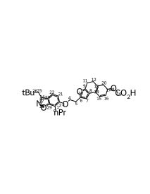 CCCc1c(OCCc2cc3c(o2)CCC2=C3C=CC(OC(=O)O)C2)ccc2c(CC(C)(C)C)noc12